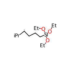 CCO[Si](CCC[CH]C(C)C)(OCC)OCC